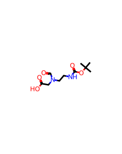 CC(C)(C)OC(=O)NCCN(C=O)CC(=O)O